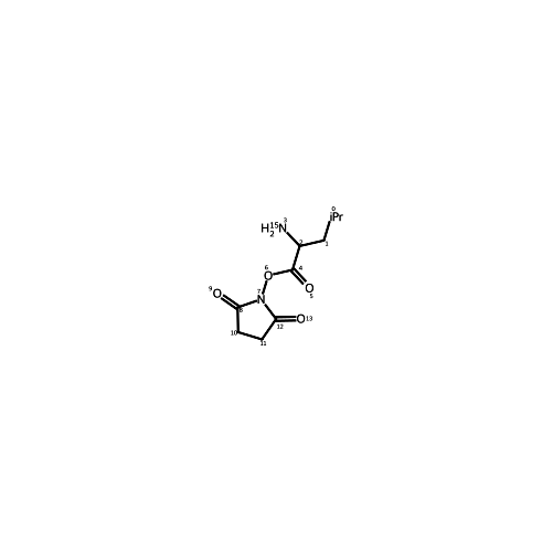 CC(C)CC([15NH2])C(=O)ON1C(=O)CCC1=O